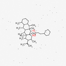 C=C(C)C1C(C)CC2(C)C(OC(O)CCC3CCCCC3)C3(C)C(C)C4CCCC(C)C4C(C)C3C(C)C2(C)C1C